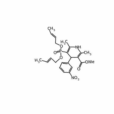 C/C=C/COP(=O)(OC/C=C/C)C1=C(C)NC(C)=C(C(=O)OC)C1c1cccc([N+](=O)[O-])c1